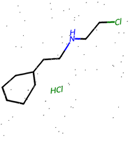 Cl.ClCCNCCC1CCCCC1